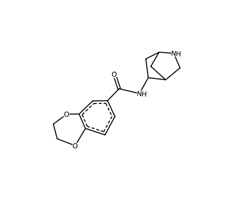 O=C(NC1CC2CC1CN2)c1ccc2c(c1)OCCO2